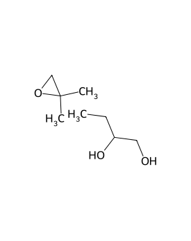 CC1(C)CO1.CCC(O)CO